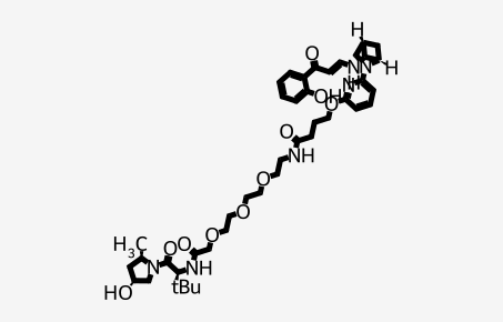 C[C@@H]1C[C@@H](O)CN1C(=O)[C@@H](NC(=O)COCCOCCOCCNC(=O)CCCOc1cccc(N2C[C@@H]3C[C@@H]2C3N/C=C/C(=O)c2ccccc2O)n1)C(C)(C)C